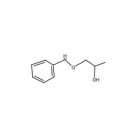 CC(O)CONc1ccccc1